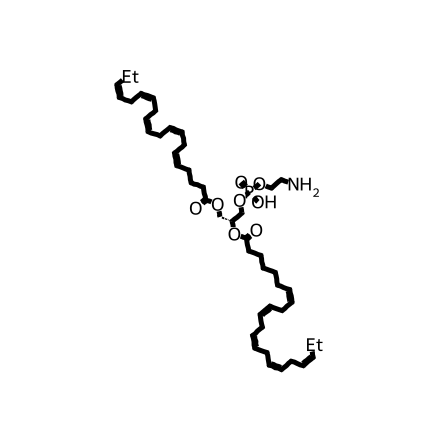 CC/C=C\C/C=C\C/C=C\C/C=C\C/C=C\CCCCCC(=O)O[C@H](COC(=O)CCC/C=C\C/C=C\C/C=C\C/C=C\C/C=C\CC)COP(=O)(O)OCCN